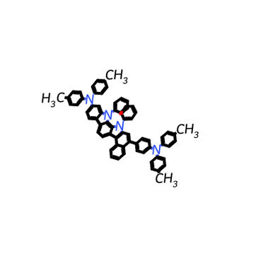 Cc1ccc(N(c2ccc(C)cc2)c2ccc(-c3cc4c(c5ccccc35)c3ccc5c6ccc(N(c7ccc(C)cc7)c7ccc(C)cc7)cc6n(-c6ccccc6)c5c3n4-c3ccccc3)cc2)cc1